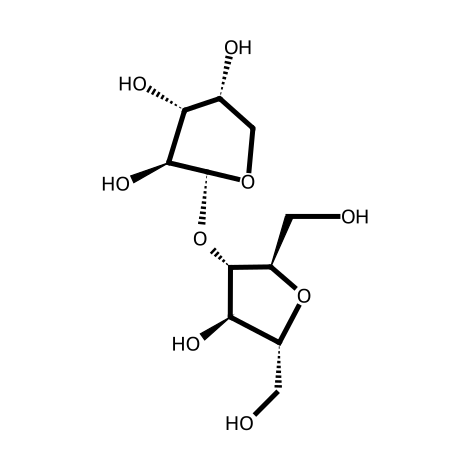 OC[C@H]1O[C@H](CO)[C@@H](O[C@H]2OC[C@@H](O)[C@@H](O)[C@@H]2O)[C@@H]1O